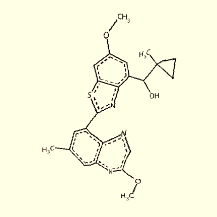 COc1cc(C(O)C2(C)CC2)c2nc(-c3cc(C)cc4nc(OC)cnc34)sc2c1